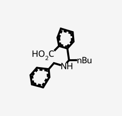 CCCCC(NCc1ccccc1)c1ccccc1C(=O)O